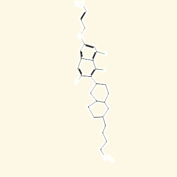 C/C=C/COc1cc(F)c2c(F)c(C3CCC4CC(CCCCC)CCC4C3)c(F)cc2c1